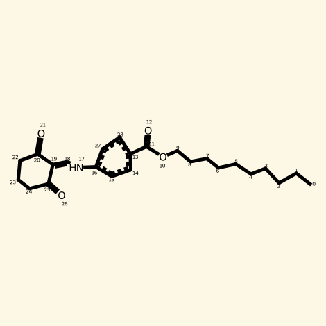 CCCCCCCCCCOC(=O)c1ccc(NC=C2C(=O)CCCC2=O)cc1